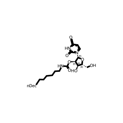 CCCCCCCCCCCCCCCCNC(=O)O[C@@H]1[C@H](O)[C@@H](CO)O[C@H]1n1ccc(=O)[nH]c1=O